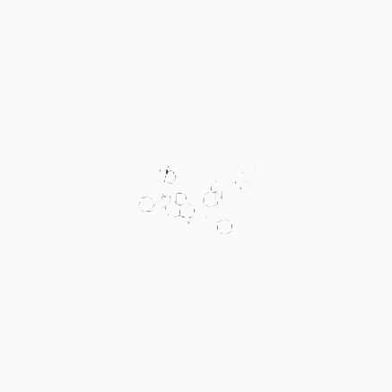 Cc1ccc(S(=O)(=O)n2c(-c3cnn(C(C)C)c3C)cc3c(-c4cc(=O)n(C5CN(C(=O)OC(C)(C)C)C5)cc4Oc4c(C)cccc4C)cn(C)c(=O)c32)cc1